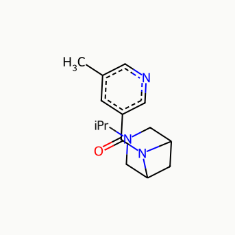 Cc1cncc(C(=O)N2C3CC2CN(C(C)C)C3)c1